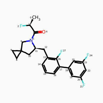 C[C@H](F)C(=O)N1CC2(CC2)C[C@@H]1Cc1cccc(-c2cc(F)cc(F)c2)c1F